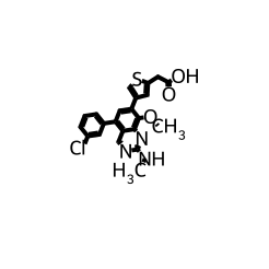 CNc1ncc2c(-c3cccc(Cl)c3)cc(-c3csc(CC(=O)O)c3)c(OC)c2n1